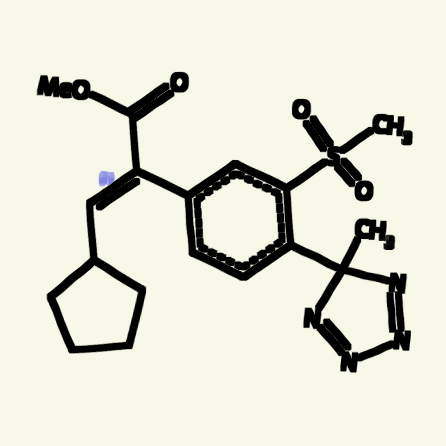 COC(=O)/C(=C/C1CCCC1)c1ccc(C2(C)N=NN=N2)c(S(C)(=O)=O)c1